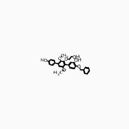 COc1cc(-c2ccc(O)cc2)c(OC)c(OCCO)c1-c1ccc(OCc2ccccc2)c(O)c1